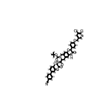 CC(C)(C)OC(=O)N1Cc2cc3c(cc2CC1C(=O)N[C@@H](Cc1ccc(-c2ccc(C#N)cc2)cc1)C(=O)O)NC(=O)C(c1ccc(OCc2cnc(Cl)c(Cl)c2)cc1)O3